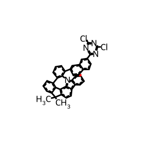 CC1(C)c2cccc3c2-c2c1ccc1c4ccccc4n(c21)-c1c(-c2ccc4ccc(-c5nc(Cl)nc(Cl)n5)cc4c2)cccc1-3